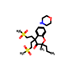 C1COCCN1.CCCC1(C)Oc2ccccc2C(CCS(C)(=O)=O)(CCS(C)(=O)=O)C1=O